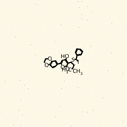 CC(C)CC(SC(I)c1ccccc1)c1c(O)cc(-c2ccc3c(c2)OCCO3)oc1=O